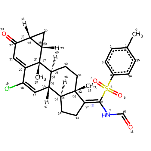 Cc1ccc(S(=O)(=O)/C(NC=O)=C2/CC[C@H]3[C@@H]4C=C(Cl)C5=CC(=O)[C@@H]6C[C@@H]6[C@]5(C)[C@H]4CC[C@]23C)cc1